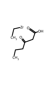 CCCC(=O)CC(=O)O.C[CH2][Zr]